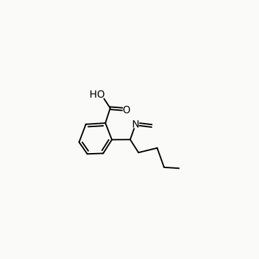 C=NC(CCCC)c1ccccc1C(=O)O